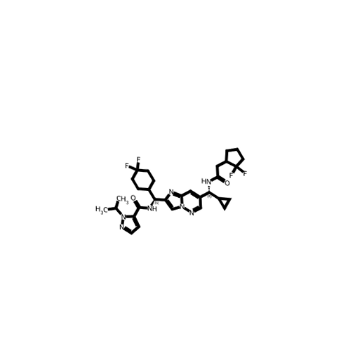 CC(C)n1nccc1C(=O)N[C@H](c1cn2ncc([C@H](NC(=O)CC3CCCC3(F)F)C3CC3)cc2n1)C1CCC(F)(F)CC1